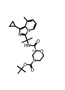 Cc1cccn2c(C(C)(C)NC(=O)[C@@H]3CN(C(=O)OC(C)(C)C)CCO3)nc(C3CC3)c12